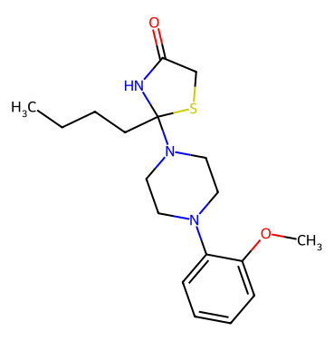 CCCCC1(N2CCN(c3ccccc3OC)CC2)NC(=O)CS1